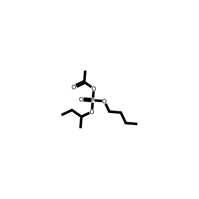 CCCCOP(=O)(OC(C)=O)OC(C)CC